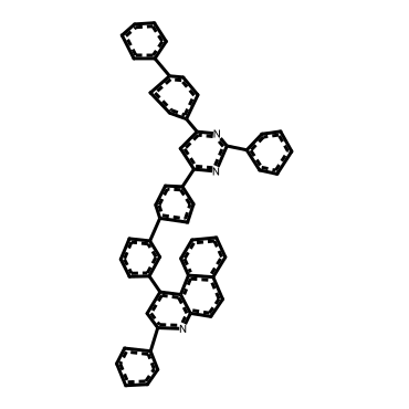 c1ccc(-c2ccc(-c3cc(-c4ccc(-c5cccc(-c6cc(-c7ccccc7)nc7ccc8ccccc8c67)c5)cc4)nc(-c4ccccc4)n3)cc2)cc1